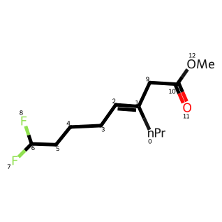 CCC/C(=C\CCCC(F)F)CC(=O)OC